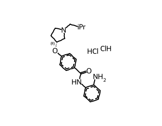 CC(C)CN1CC[C@@H](Oc2ccc(C(=O)Nc3ccccc3N)cc2)C1.Cl.Cl